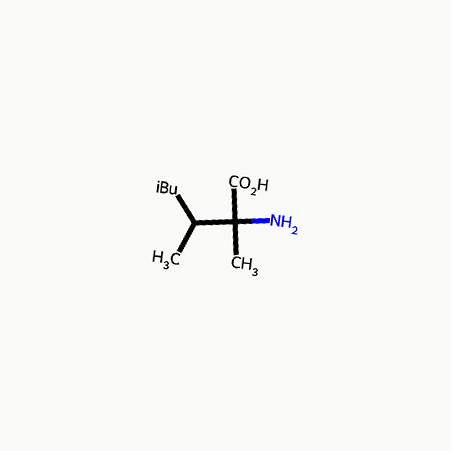 CCC(C)C(C)C(C)(N)C(=O)O